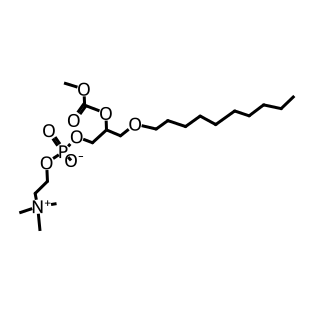 CCCCCCCCCCOCC(COP(=O)([O-])OCC[N+](C)(C)C)OC(=O)OC